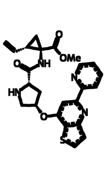 C=C[C@@H]1C[C@]1(NC(=O)[C@@H]1C[C@@H](Oc2cc(-c3ccccn3)nc3ccsc23)CN1)C(=O)OC